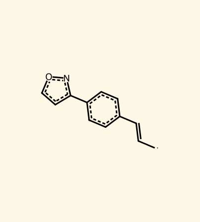 [CH2]/C=C/c1ccc(-c2ccon2)cc1